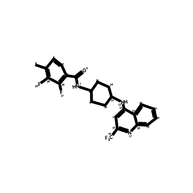 Cc1ccc(C(=O)NC2CCC(Nc3cc(C(F)(F)F)nc4ccccc34)CC2)c(F)c1F